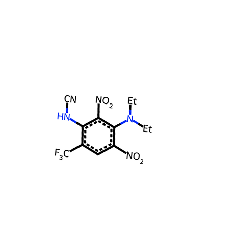 CCN(CC)c1c([N+](=O)[O-])cc(C(F)(F)F)c(NC#N)c1[N+](=O)[O-]